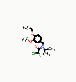 CCOc1ccc(CN(C(=O)C(Cl)Cl)C(C)C)cc1OC